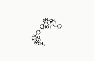 Cc1noc(-c2ccc(-c3ccc(C4(C(=O)NS(C)(=O)=O)CC4)cc3)cc2)c1C(O)C(F)(F)C=Cc1ccccc1